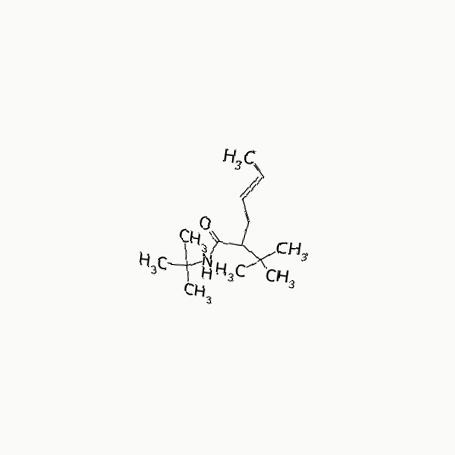 C/C=C/CC(C(=O)NC(C)(C)C)C(C)(C)C